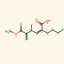 C=C(C(=O)O[SiH3])C(C)C=C(CCCC)C(=O)O